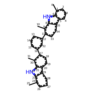 Cc1cccc2c1[nH]c1c(C)c(-c3cccc(-c4ccc5c([nH]c6c(C)cccc65)c4C)c3)ccc12